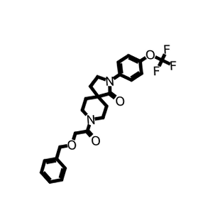 O=C(COCc1ccccc1)N1CCC2(CC1)CCN(c1ccc(OC(F)(F)F)cc1)C2=O